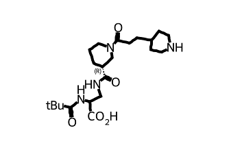 CC(C)(C)C(=O)NC(CNC(=O)[C@@H]1CCCN(C(=O)CCC2CCNCC2)C1)C(=O)O